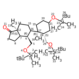 CC(C)(C)[Si](C)(C)OC[C@H]1C2CCC(=O)[C@@]2(C)CCC1[C@@]1(C)CCC(O[Si](C)(C)C(C)(C)C)C[C@@H]1CO[Si](C)(C)C(C)(C)C